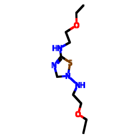 CCOCCNC1=NCN(NCCOCC)S1